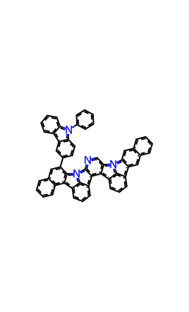 c1ccc(-n2c3ccccc3c3cc(-c4cc5ccccc5c5c6cccc7c8c9c%10cccc%11c%12cc%13ccccc%13cc%12n(c9cnc8n(c45)c76)c%11%10)ccc32)cc1